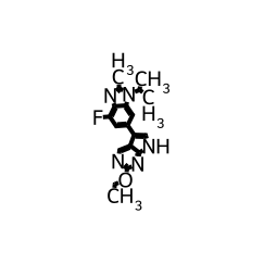 CCOc1ncc2c(-c3cc(F)c4nc(C)n(C(C)C)c4c3)c[nH]c2n1